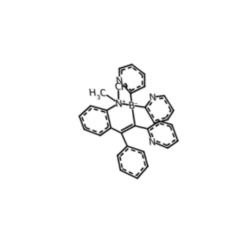 C[N+]1(C)c2ccccc2C(c2ccccc2)=C(c2ccccn2)[B-]1(c1ccccn1)c1ccccn1